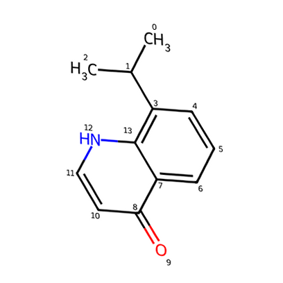 CC(C)c1cccc2c(=O)cc[nH]c12